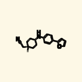 CC1(CC#N)CCC(Nc2ccc(-c3ccco3)cc2)CC1